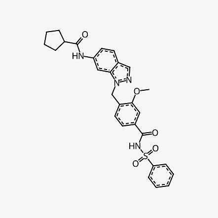 COc1cc(C(=O)NS(=O)(=O)c2ccccc2)ccc1Cn1ncc2ccc(NC(=O)C3CCCC3)cc21